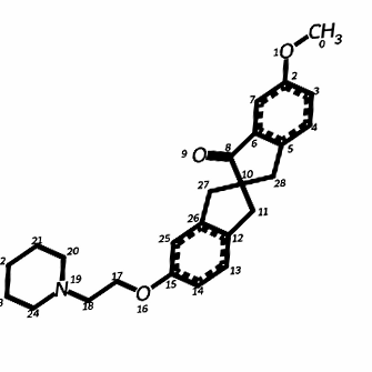 COc1ccc2c(c1)C(=O)C1(Cc3ccc(OCCN4CCCCC4)cc3C1)C2